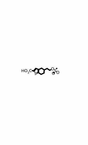 CS(=O)(=O)OCCC1CCc2sc(C(=O)O)cc2C1